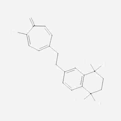 CC1(C)CCC(C)(C)c2cc(CCc3ccc(O)c(=O)cc3)ccc21